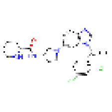 C[C@H](c1ccc(Cl)cc1Cl)n1cnc2ccc(N3CCC(NC(=O)C4CCCCN4)C3)cc21